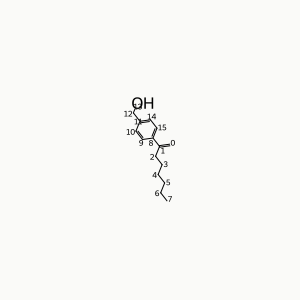 C=C(CCCCCC)c1ccc(CO)cc1